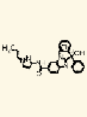 CCCn1ccc(NC(=O)c2ccc3nc(C(O)(c4ccccc4)c4ccccc4)n(CC)c3c2)n1